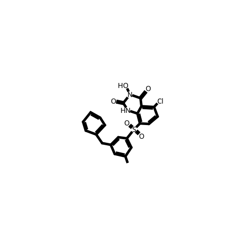 Cc1cc(Cc2ccccc2)cc(S(=O)(=O)c2ccc(Cl)c3c(=O)n(O)c(=O)[nH]c23)c1